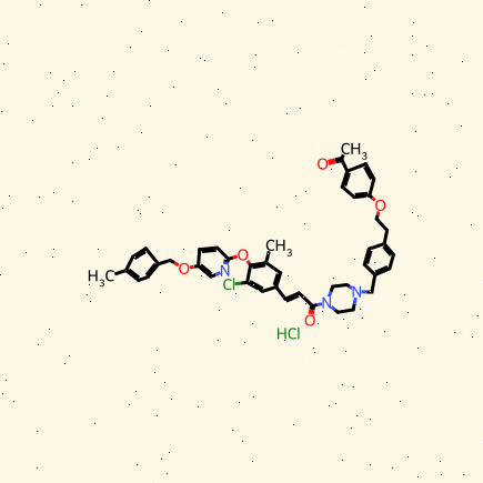 CC(=O)c1ccc(OCCc2ccc(CN3CCN(C(=O)/C=C/c4cc(C)c(Oc5ccc(OCc6ccc(C)cc6)cn5)c(Cl)c4)CC3)cc2)cc1.Cl